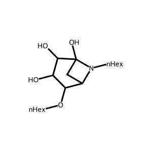 CCCCCCOC1C(O)C(O)C2(O)CC1N2CCCCCC